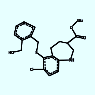 CC(C)(C)OC(=O)C1CCc2c(ccc(Cl)c2SCc2ccccc2CO)NC1